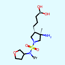 CC(C)N(C1CCOC1)S(=O)(=O)N1C[C@H](CCCB(O)O)[C@@](C)(N)C1